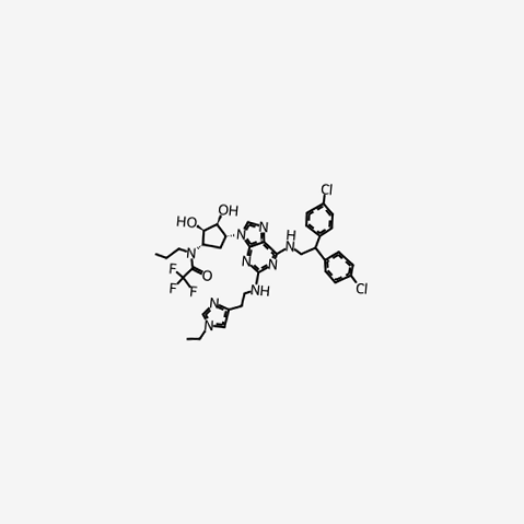 CCCN(C(=O)C(F)(F)F)[C@H]1C[C@@H](n2cnc3c(NCC(c4ccc(Cl)cc4)c4ccc(Cl)cc4)nc(NCCc4cn(CC)cn4)nc32)[C@H](O)[C@@H]1O